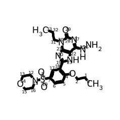 CCCOc1ccc(S(=O)(=O)N2CCOCC2)cc1-c1nc2c([nH]1)c(NN)nc(=O)n2CCC